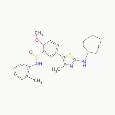 COc1ccc(-c2sc(NC3CCCCCC3)nc2C)cc1[S+]([O-])Nc1ccccc1C